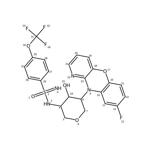 N=S(=O)(NC1COCC(N2c3cc(F)ccc3Oc3cccnc32)C1O)c1ccc(OC(F)(F)F)cc1